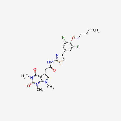 CCCCCOc1c(F)cc(-c2csc(NC(=O)Cc3cn(C)c4c3c(=O)n(C)c(=O)n4C)n2)cc1F